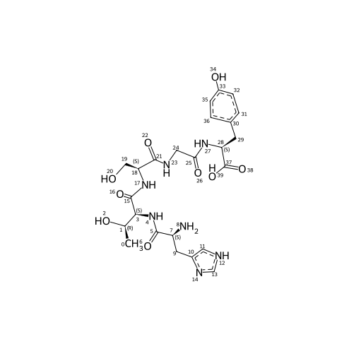 C[C@@H](O)[C@H](NC(=O)[C@@H](N)Cc1c[nH]cn1)C(=O)N[C@@H](CO)C(=O)NCC(=O)N[C@@H](Cc1ccc(O)cc1)C(=O)O